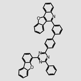 c1ccc(-c2nc(-c3ccc(-c4cccc(-c5nc6ccccc6c6oc7ccccc7c56)c4)cc3)nc(-c3cccc4c3oc3ccccc34)n2)cc1